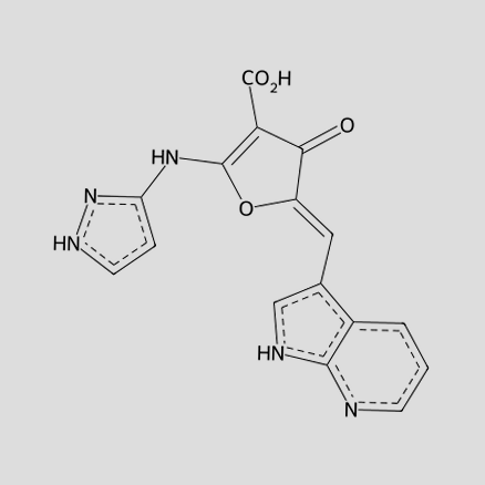 O=C(O)C1=C(Nc2cc[nH]n2)OC(=Cc2c[nH]c3ncccc23)C1=O